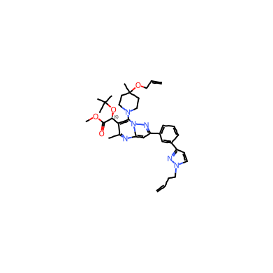 C=CCCn1ccc(-c2cccc(-c3cc4nc(C)c([C@H](OC(C)(C)C)C(=O)OC)c(N5CCC(C)(OCC=C)CC5)n4n3)c2)n1